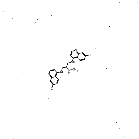 CNC(CNc1ccnc2cc(Cl)ccc12)CNc1ccnc2cc(Cl)ccc12